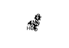 CC(C)Oc1nc(N2CCOCC2)ncc1C(=O)O